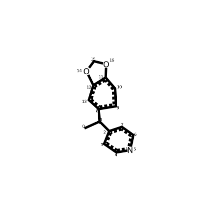 C[C](c1ccncc1)c1ccc2c(c1)OCO2